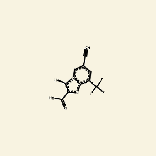 C#Cc1cc(C(F)(F)F)c2nc(C(=O)O)c(Cl)n2c1